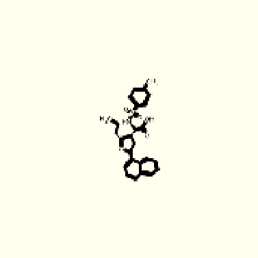 CCC[C@H]1OC(c2cccc3ccccc23)C[C@@H]1C(NS(=O)(=O)c1ccc(C)cc1)C(=O)O